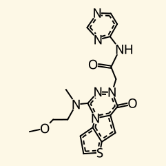 COCCN(C)c1nn(CC(=O)Nc2ccncn2)c(=O)c2cc3sccc3n12